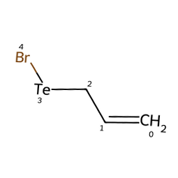 C=CC[Te]Br